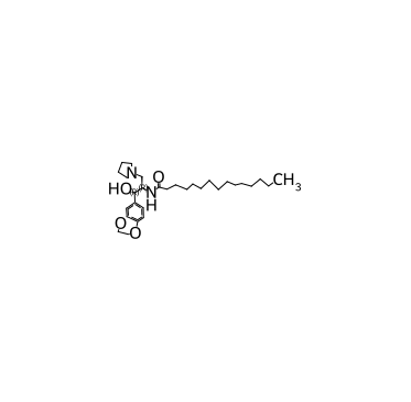 CCCCCCCCCCCCCCC(=O)N[C@H](CN1CCCC1)[C@H](O)c1ccc2c(c1)OCCO2